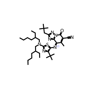 CCCCC(CC)CN(CC(CC)CCCC)c1nc(C(C)(C)C)c(/N=C2/C(C)=C(C#N)C(=O)n3nc(CC(C)(C)C)nc32)s1